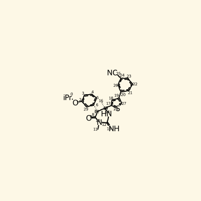 CC(C)Oc1cccc([C@H]2C(=O)N(C)C(=N)N[C@]2(C)c2cc(-c3cccc(C#N)c3)cs2)c1